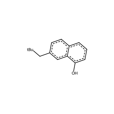 CC(C)(C)Cc1ccc2cccc(O)c2c1